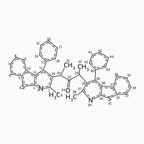 Cc1nc2sc3ccccc3c2c(-c2ccccc2)c1C(C)C(=O)C(C)c1c(C)nc2sc3ccccc3c2c1-c1ccccc1